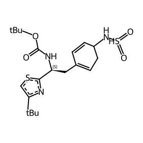 CC(C)(C)OC(=O)N[C@@H](CC1=CCC(N[SH](=O)=O)C=C1)c1nc(C(C)(C)C)cs1